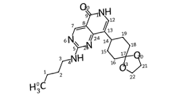 CCCCNc1ncc2c(=O)[nH]cc(C3CCC4(CC3)OCCO4)c2n1